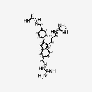 CC(=N)N/N=C/c1ccc(-c2sc3cc(/C=N/NC(=N)N)ccc3c2CCCNC(=N)N)cc1